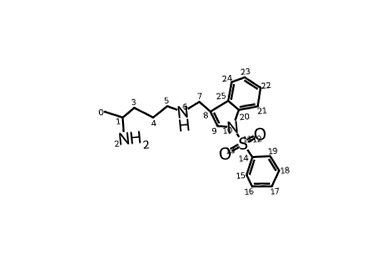 CC(N)CCCNCc1cn(S(=O)(=O)c2ccccc2)c2ccccc12